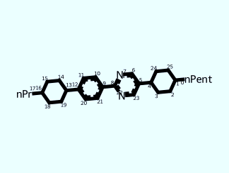 CCCCCC1CCC(c2cnc(-c3ccc(C4CCC(CCC)CC4)cc3)nc2)CC1